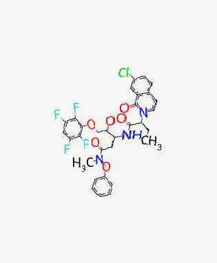 CC[C@@H](C(=O)NC(CC(=O)N(C)Oc1ccccc1)C(=O)COc1c(F)c(F)cc(F)c1F)n1ccc2ccc(Cl)cc2c1=O